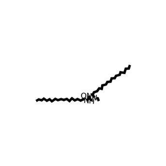 CCCCCCCCCCCCCCCCCC(=O)NC1CN(CC)C(CCCCCCCCCCCCCCCCC)=N1